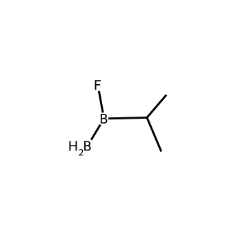 BB(F)C(C)C